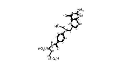 Nc1nc(=O)c2nc(CN(CO)c3ccc(C(=O)N[C@@H](CCC(=O)O)C(=O)O)cc3)cnc2[nH]1